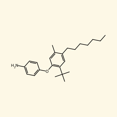 CCCCCCCc1cc(C(C)(C)C)c(Oc2ccc(N)cc2)cc1C